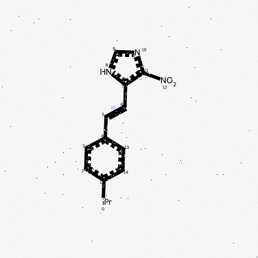 CC(C)c1ccc(/C=C/c2[nH]cnc2[N+](=O)[O-])cc1